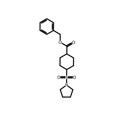 O=C(OCc1ccccc1)C1CCC(S(=O)(=O)N2CCCC2)CC1